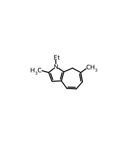 CCn1c(C)cc2c1CC(C)=CC=C2